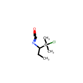 CCC(N=C=O)[Si](C)(C)Cl